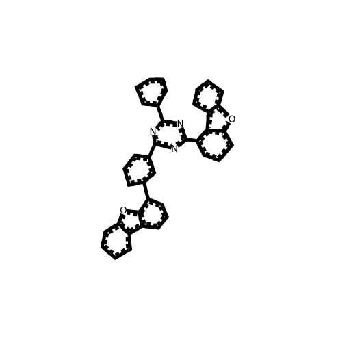 c1ccc(-c2nc(-c3cccc(-c4cccc5c4oc4ccccc45)c3)nc(-c3cccc4oc5ccccc5c34)n2)cc1